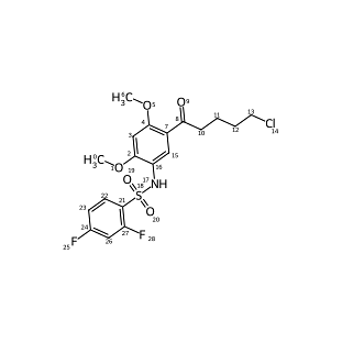 COc1cc(OC)c(C(=O)CCCCCl)cc1NS(=O)(=O)c1ccc(F)cc1F